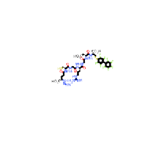 N=NN[C@@H](CCC(=O)N[C@@H](CS)C(=O)NCC(=O)N[C@@H](CCCNC(=N)N)C(=O)NCC(=O)N[C@@H](CC(=O)O)C(=O)N[C@@H](CSc1c(F)c(F)c(-c2c(F)c(F)c(F)c(F)c2F)c(F)c1F)C(=O)O)C(=O)O